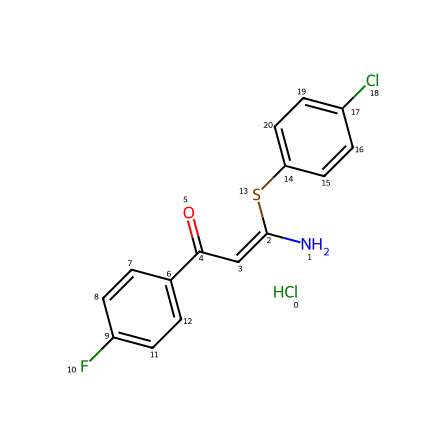 Cl.NC(=CC(=O)c1ccc(F)cc1)Sc1ccc(Cl)cc1